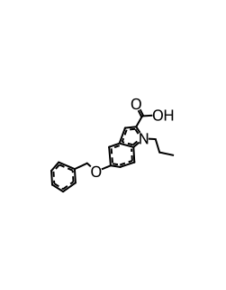 CCCn1c(C(=O)O)cc2cc(OCc3ccccc3)ccc21